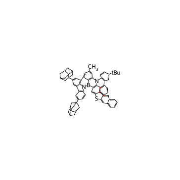 Cc1cc2c3c(c1)N(c1ccc(C(C)(C)C)cc1-c1ccccc1)c1cc4c(cc1B3n1c3ccc(C56CC7CC(CC(C7)C5)C6)cc3c3cc(C56CC7CC(CC(C7)C5)C6)cc-2c31)sc1cc2ccccc2cc14